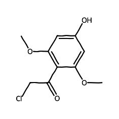 COc1cc(O)cc(OC)c1C(=O)CCl